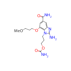 COCCCOc1cc(C(N)=O)cc2nc(N)n(CCCOC(N)=O)c12